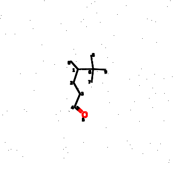 CC(CCC=O)C(C)(C)C